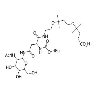 CC(=O)NC1C(NC(=O)C[C@H](NC(=O)OC(C)(C)C)C(=O)NCCOC(C)(C)CCOC(C)(C)CCC(=O)O)OC(CO)C(O)C1O